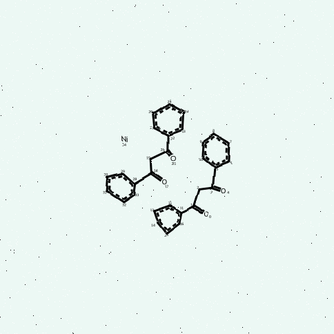 O=C(CC(=O)c1ccccc1)c1ccccc1.O=C(CC(=O)c1ccccc1)c1ccccc1.[Ni]